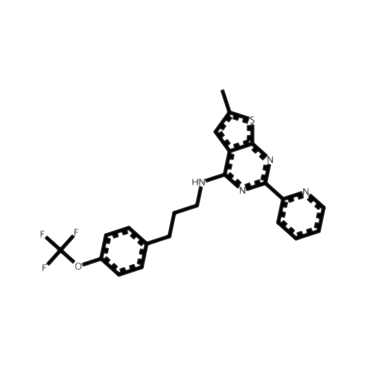 Cc1cc2c(NCCCc3ccc(OC(F)(F)F)cc3)nc(-c3ccccn3)nc2s1